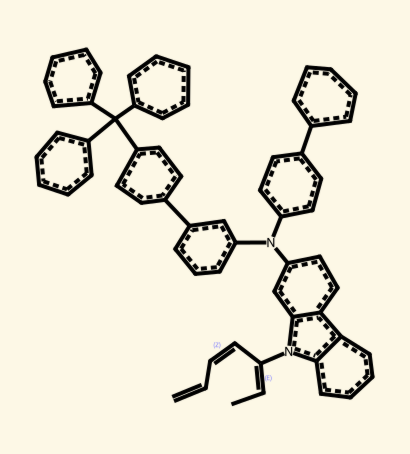 C=C/C=C\C(=C/C)n1c2ccccc2c2ccc(N(c3ccc(-c4ccccc4)cc3)c3cccc(-c4ccc(C(c5ccccc5)(c5ccccc5)c5ccccc5)cc4)c3)cc21